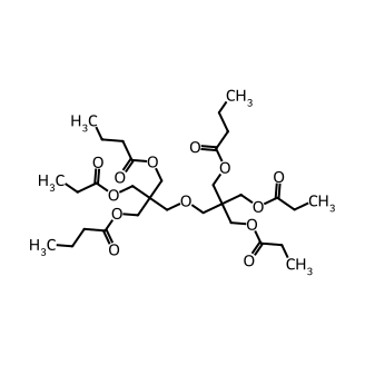 CCCC(=O)OCC(COCC(COC(=O)CC)(COC(=O)CCC)COC(=O)CCC)(COC(=O)CC)COC(=O)CC